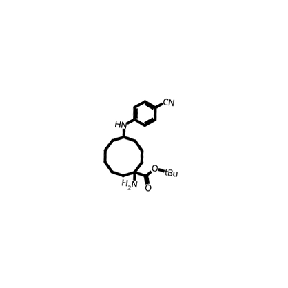 CC(C)(C)OC(=O)C1(N)CCCCCC(Nc2ccc(C#N)cc2)CCC1